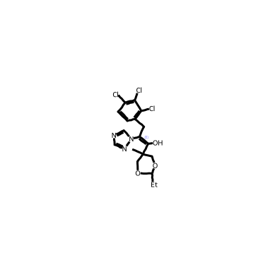 CCC1OCC(C)(/C(O)=C(/Cc2ccc(Cl)c(Cl)c2Cl)n2cncn2)CO1